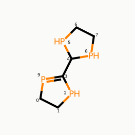 C1CPC(C2PCCP2)=P1